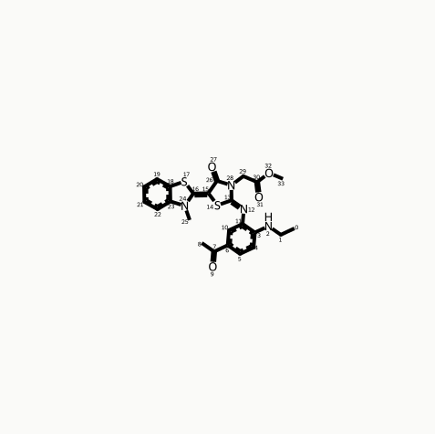 CCNc1ccc(C(C)=O)cc1N=C1SC(=C2Sc3ccccc3N2C)C(=O)N1CC(=O)OC